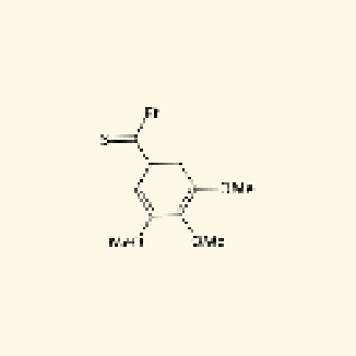 CCC(=S)c1cc(OC)c(OC)c(OC)c1